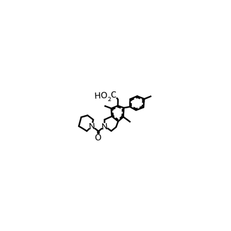 Cc1ccc(-c2c(C)c3c(c(C)c2CC(=O)O)CN(C(=O)N2CCCCC2)CC3)cc1